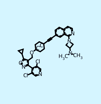 CN(C)C1CN(c2nccc3ccc(C#CC45CCC(OCc6c(-c7c(Cl)cncc7Cl)noc6C6CC6)(CC4)CC5)cc23)C1